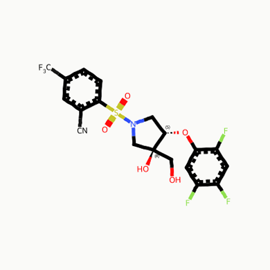 N#Cc1cc(C(F)(F)F)ccc1S(=O)(=O)N1C[C@H](Oc2cc(F)c(F)cc2F)[C@](O)(CO)C1